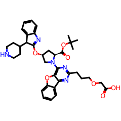 CC(C)(C)OC(=O)[C@@H]1C[C@H](OC2=Nc3ccccc3C2C2CCNCC2)CN1c1nc(CCCOCC(=O)O)nc2c1oc1ccccc12